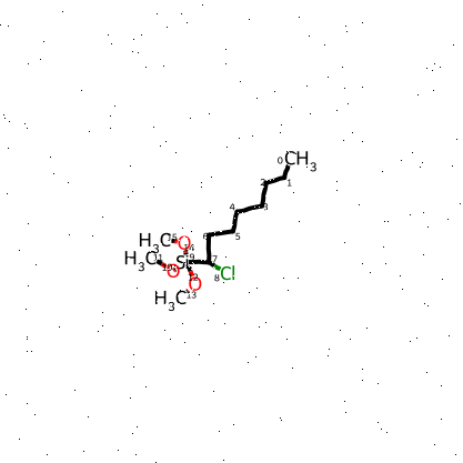 CCCCCCCC(Cl)[Si](OC)(OC)OC